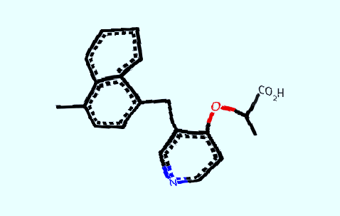 Cc1ccc(Cc2cnccc2OC(C)C(=O)O)c2ccccc12